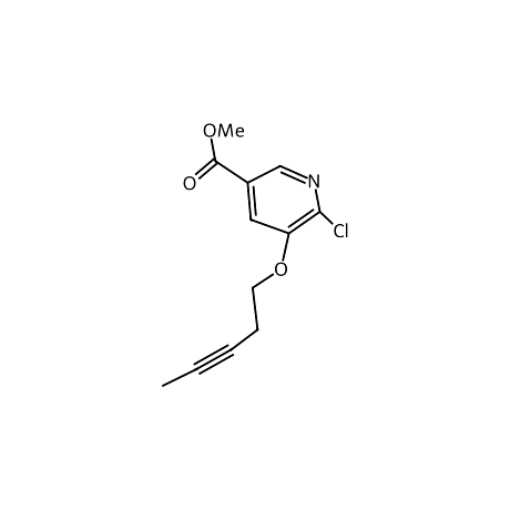 CC#CCCOc1cc(C(=O)OC)cnc1Cl